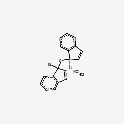 CC[C]1([Zr][C]2(CC)C=Cc3ccccc32)C=Cc2ccccc21.Cl.Cl